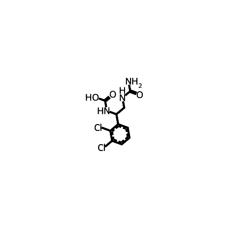 NC(=O)NCC(NC(=O)O)c1cccc(Cl)c1Cl